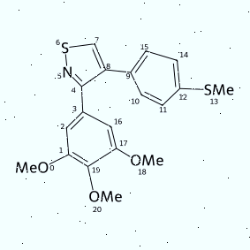 COc1cc(-c2nscc2-c2ccc(SC)cc2)cc(OC)c1OC